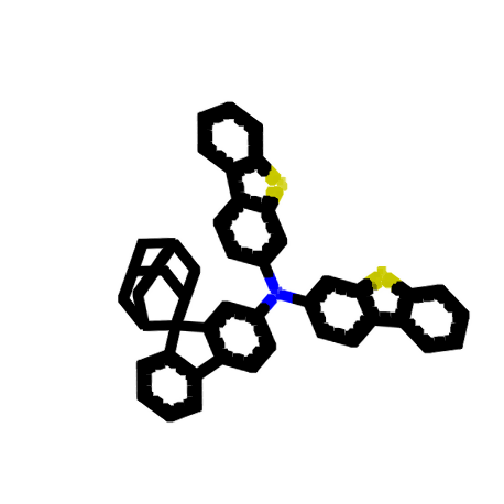 c1ccc2c(c1)-c1ccc(N(c3ccc4c(c3)sc3ccccc34)c3ccc4c(c3)sc3ccccc34)cc1C21C2CC3CC(C2)CC1C3